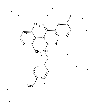 COc1ccc(CNc2nc3ccc(I)cc3c(=O)n2-c2c(C)cccc2C)cc1